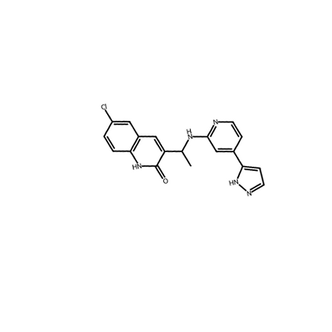 CC(Nc1cc(-c2ccn[nH]2)ccn1)c1cc2cc(Cl)ccc2[nH]c1=O